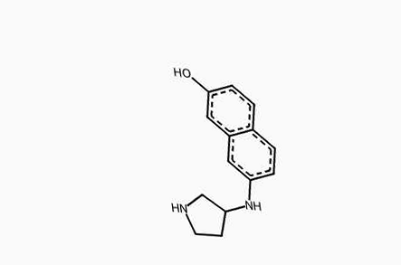 Oc1ccc2ccc(NC3CCNC3)cc2c1